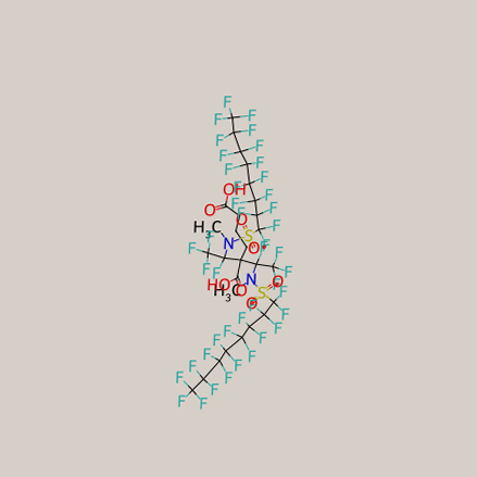 CN(C(F)(C(F)(F)F)C(CCCC(=O)O)(C(=O)O)C(F)(N(C)S(=O)(=O)C(F)(F)C(F)(F)C(F)(F)C(F)(F)C(F)(F)C(F)(F)C(F)(F)C(F)(F)F)C(F)(F)F)S(=O)(=O)C(F)(F)C(F)(F)C(F)(F)C(F)(F)C(F)(F)C(F)(F)C(F)(F)C(F)(F)F